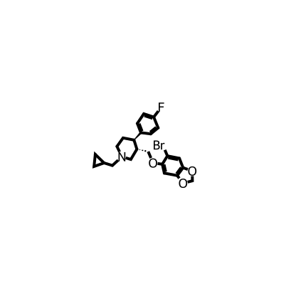 Fc1ccc([C@@H]2CCN(CC3CC3)C[C@H]2COc2cc3c(cc2Br)OCO3)cc1